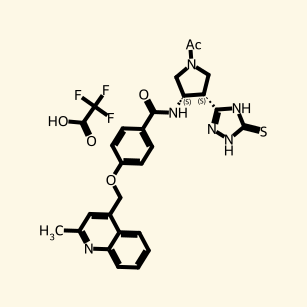 CC(=O)N1C[C@H](c2n[nH]c(=S)[nH]2)[C@H](NC(=O)c2ccc(OCc3cc(C)nc4ccccc34)cc2)C1.O=C(O)C(F)(F)F